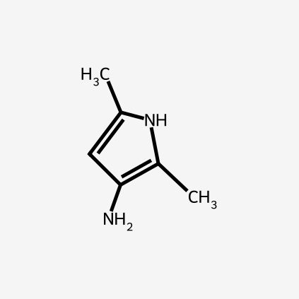 Cc1cc(N)c(C)[nH]1